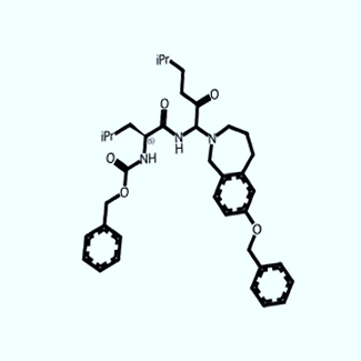 CC(C)CCC(=O)C(NC(=O)[C@H](CC(C)C)NC(=O)OCc1ccccc1)N1CCCc2cc(OCc3ccccc3)ccc2C1